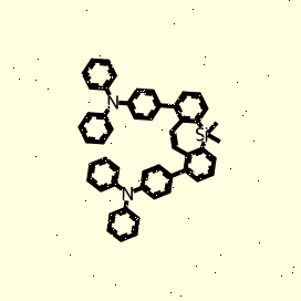 C[Si]1(C)c2cccc(-c3ccc(N(c4ccccc4)c4ccccc4)cc3)c2C=Cc2c(-c3ccc(N(c4ccccc4)c4ccccc4)cc3)cccc21